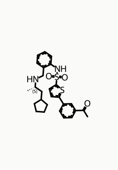 CC(=O)c1cccc(-c2ccc(S(=O)(=O)Nc3ccccc3CN[C@@H](C)CC3CCCC3)s2)c1